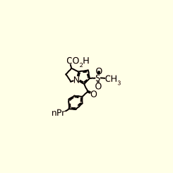 CCCc1ccc(C(=O)c2c(S(C)(=O)=O)cc3n2CCC3C(=O)O)cc1